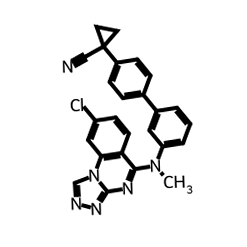 CN(c1cccc(-c2ccc(C3(C#N)CC3)cc2)c1)c1nc2nncn2c2cc(Cl)ccc12